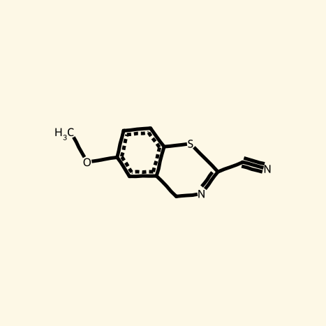 COc1ccc2c(c1)CN=C(C#N)S2